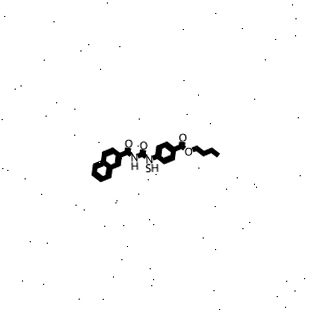 CCCCOC(=O)c1ccc(N(S)C(=O)NC(=O)c2ccc3ccccc3c2)cc1